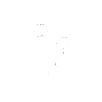 CCOC(=O)C(Cc1cnn(Cc2ccccc2Cl)c1)C(=O)N(CC)CC